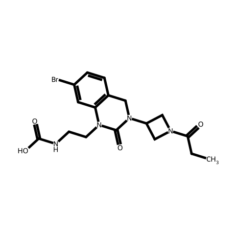 CCC(=O)N1CC(N2Cc3ccc(Br)cc3N(CCNC(=O)O)C2=O)C1